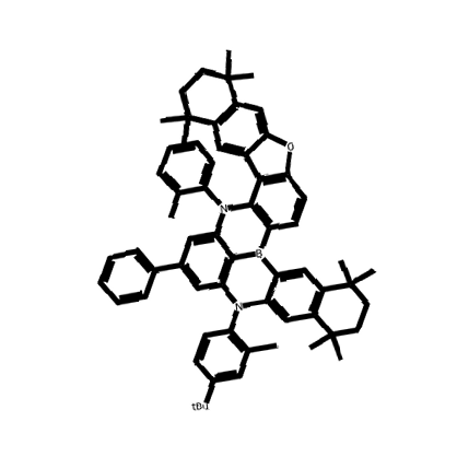 Cc1cc(C(C)(C)C)ccc1N1c2cc3c(cc2B2c4ccc5oc6cc7c(cc6c5c4N(c4ccccc4C)c4cc(-c5ccccc5)cc1c42)C(C)(C)CCC7(C)C)C(C)(C)CCC3(C)C